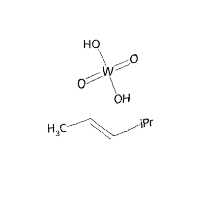 CC=CC(C)C.[O]=[W](=[O])([OH])[OH]